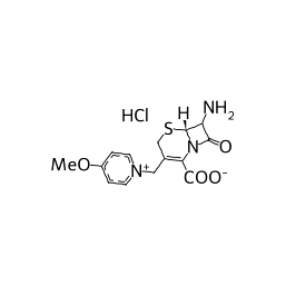 COc1cc[n+](CC2=C(C(=O)[O-])N3C(=O)C(N)[C@H]3SC2)cc1.Cl